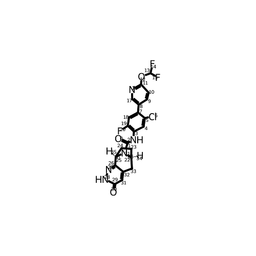 O=C(Nc1cc(Cl)c(-c2ccc(OC(F)F)nc2)cc1F)N1[C@H]2CC[C@@H]1c1n[nH]c(=O)cc1C2